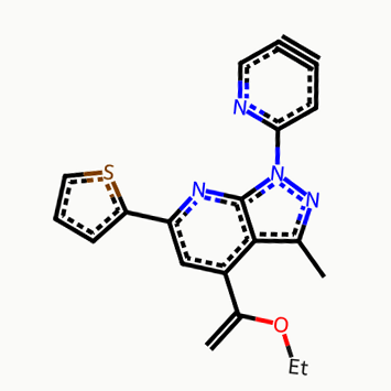 C=C(OCC)c1cc(-c2cccs2)nc2c1c(C)nn2-c1cc#ccn1